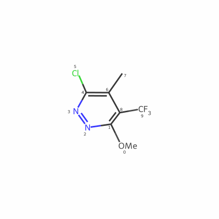 COc1nnc(Cl)c(C)c1C(F)(F)F